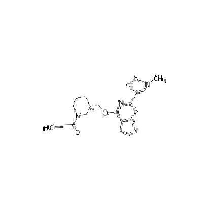 C#CC(=O)N1CCC[C@H](COc2nc(-c3cnn(C)c3)cn3nccc23)C1